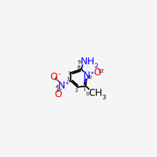 Cc1cc([N+](=O)[O-])cc(N)[n+]1[O-]